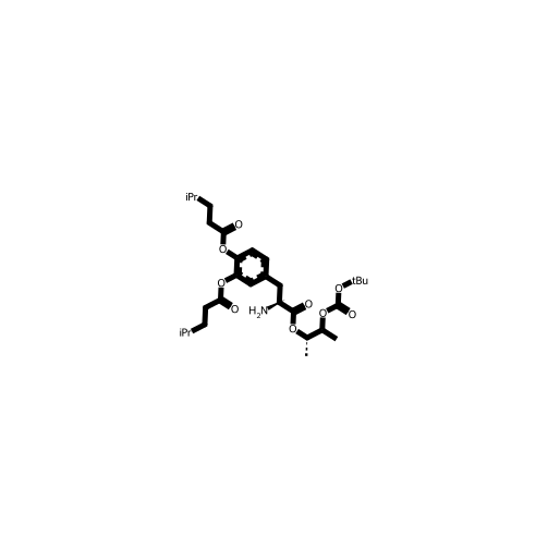 CC(C)CCC(=O)Oc1ccc(C[C@H](N)C(=O)O[C@@H](C)C(C)OC(=O)OC(C)(C)C)cc1OC(=O)CCC(C)C